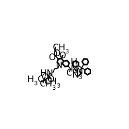 CCOC(=O)c1cn(CCCNC(=O)OC(C)(C)C)c2cc(C(C)Nc3nccn3C(c3ccccc3)(c3ccccc3)c3ccccc3)ccc2c1=O